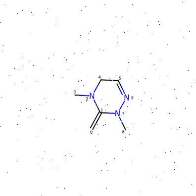 C=C1N(C)CC=NN1C